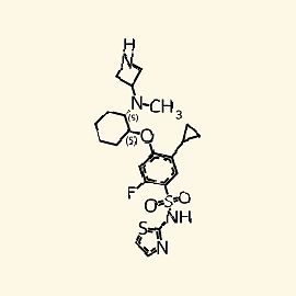 CN(C1CNC1)[C@H]1CCCC[C@@H]1Oc1cc(F)c(S(=O)(=O)Nc2nccs2)cc1C1CC1